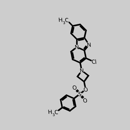 Cc1ccc(S(=O)(=O)OC2CN(c3ccn4c(nc5ccc(C)cc54)c3Cl)C2)cc1